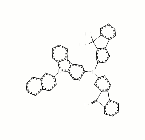 C=C1c2ccccc2-c2ccc(N(c3ccc4c(c3)C(C)(C)c3ccccc3-4)c3ccc4c(c3)c3ccccc3n4-c3ccc4ccccc4c3)cc21